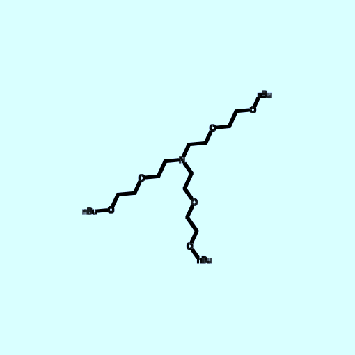 CCCCOCCOCCN(CCOCCOCCCC)CCOCCOCCCC